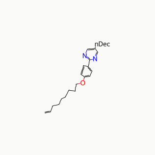 C=CCCCCCCCOc1ccc(-c2ncc(CCCCCCCCCC)cn2)cc1